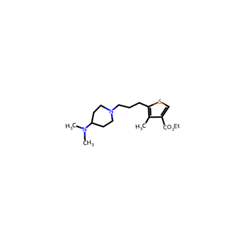 CCOC(=O)c1csc(CCCN2CCC(N(C)C)CC2)c1C